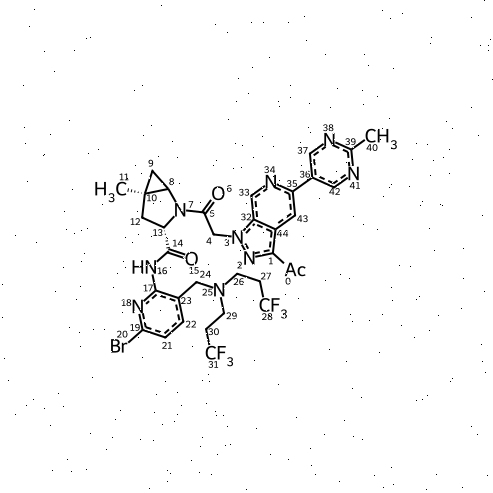 CC(=O)c1nn(CC(=O)N2C3C[C@]3(C)C[C@H]2C(=O)Nc2nc(Br)ccc2CN(CCC(F)(F)F)CCC(F)(F)F)c2cnc(-c3cnc(C)nc3)cc12